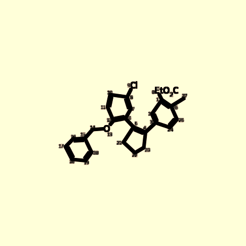 CCOC(=O)c1cc(C2=C(c3cc(Cl)ccc3OCc3ccccc3)CCC2)ccc1C